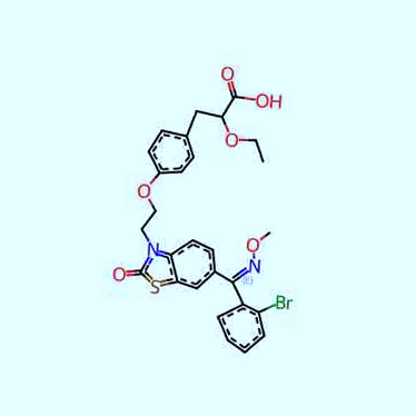 CCOC(Cc1ccc(OCCn2c(=O)sc3cc(/C(=N\OC)c4ccccc4Br)ccc32)cc1)C(=O)O